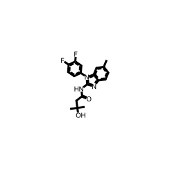 Cc1ccc2nc(NC(=O)CC(C)(C)O)n(-c3ccc(F)c(F)c3)c2c1